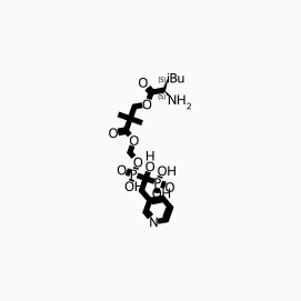 CC[C@H](C)[C@H](N)C(=O)OCC(C)(C)C(=O)OCOP(=O)(O)C(O)(Cc1cccnc1)P(=O)(O)O